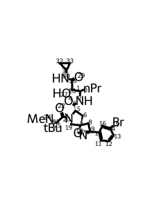 CCCC(NC(=O)[C@@H]1C[C@]2(CC(c3cccc(Br)c3)=NO2)CN1C(=O)[C@@H](NC)C(C)(C)C)C(O)C(=O)NC1CC1